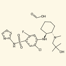 CN(CC(C)(C)O)[C@H]1CCCC[C@@H]1Nc1cc(F)c(S(=O)(=O)Nc2nccs2)cc1Cl.O=CO